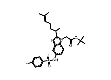 CC(C)=CCCC(C)c1nc2cc(NS(=O)(=O)c3ccc(F)cc3)ccc2n1CC(=O)OC(C)(C)C